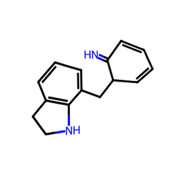 N=C1C=CC=CC1Cc1cccc2c1NCC2